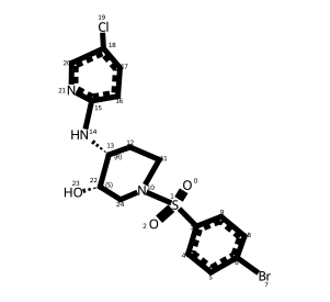 O=S(=O)(c1ccc(Br)cc1)N1CC[C@@H](Nc2ccc(Cl)cn2)[C@@H](O)C1